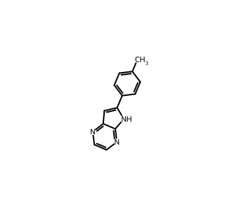 Cc1ccc(-c2cc3nccnc3[nH]2)cc1